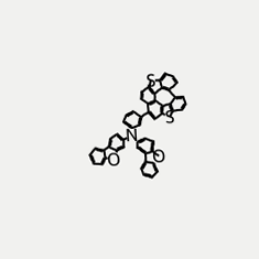 c1cc(-c2cc3sc4cccc5c4c3c3c2ccc2sc4cccc-5c4c23)cc(N(c2ccc3c(c2)oc2ccccc23)c2ccc3oc4ccccc4c3c2)c1